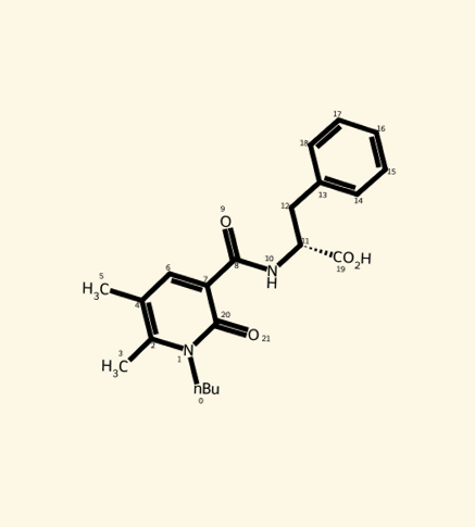 CCCCn1c(C)c(C)cc(C(=O)N[C@H](Cc2ccccc2)C(=O)O)c1=O